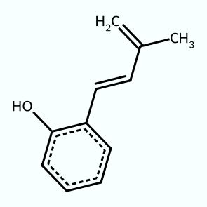 C=C(C)C=Cc1ccccc1O